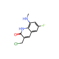 CNc1cc(F)cc2cc(CCl)c(=O)[nH]c12